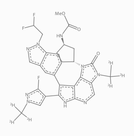 [2H]C([2H])([2H])n1cc(-c2[nH]c3ncc4c(c3c2-c2ccc3c(cnn3CC(F)F)c2)n([C@@H]2CC[C@@H](NC(=O)OC)C2)c(=O)n4C([2H])([2H])[2H])c(F)n1